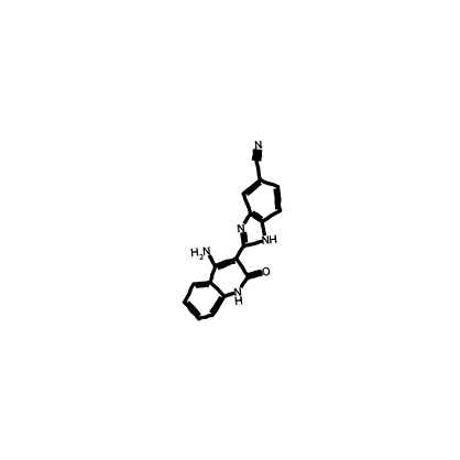 N#Cc1ccc2[nH]c(-c3c(N)c4ccccc4[nH]c3=O)nc2c1